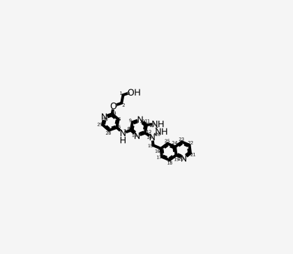 OCCOc1cc(Nc2cnc3c(n2)N(Cc2ccc4ncccc4c2)NN3)ccn1